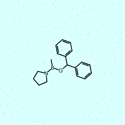 CB(OC(c1ccccc1)c1ccccc1)N1CCCC1